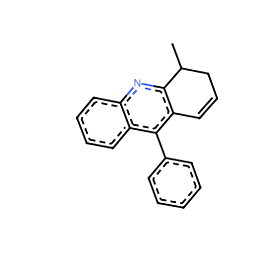 CC1CC=Cc2c1nc1ccccc1c2-c1ccccc1